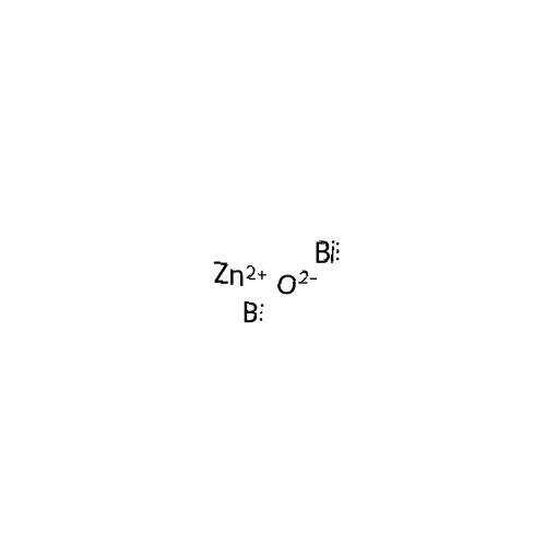 [B].[Bi].[O-2].[Zn+2]